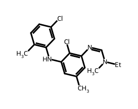 CCN(C)/C=N\c1cc(C)cc(Nc2cc(Cl)ccc2C)c1Cl